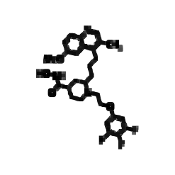 COc1ccc2ncc(C)c(CCCC3CC(C(=O)NO)CCN3CCOc3cc(F)c(F)c(F)c3)c2c1